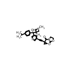 CC(C)c1ccc([C@](O)(c2cncc(C#CC3(C(=O)N4CCOC4=O)CC3)c2)C2(C)CN(C)C2)cc1